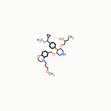 CCC(O)CO[C@@H]1CNC[C@H](OCc2ccc3c(c2)N(CCCOC)CCO3)[C@H]1c1ccc([C@@H](OC)C2CC2)cc1